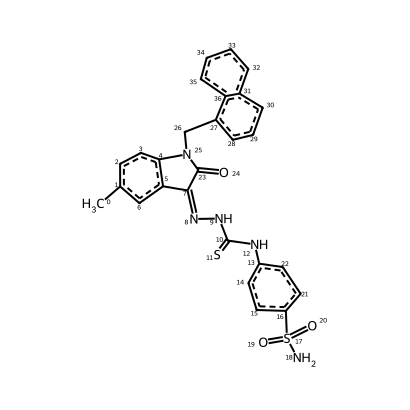 Cc1ccc2c(c1)C(=NNC(=S)Nc1ccc(S(N)(=O)=O)cc1)C(=O)N2Cc1cccc2ccccc12